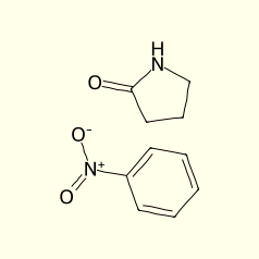 O=C1CCCN1.O=[N+]([O-])c1ccccc1